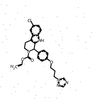 C=COC(=O)N1CCc2c([nH]c3ccc(Cl)cc23)C1c1ccc(OCCCn2cncn2)cc1